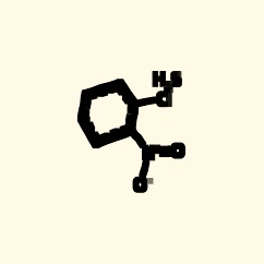 O=[N+]([O-])c1ccccc1Cl.S